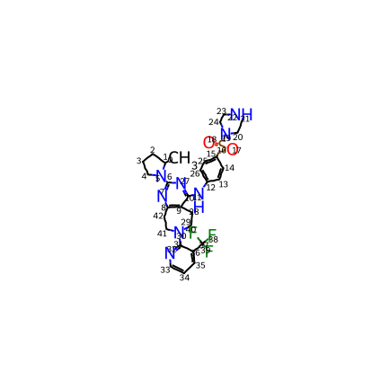 CC1CCCN1c1nc2c(c(Nc3ccc(S(=O)(=O)N4CCNCC4)cc3)n1)CCN(c1ncccc1C(F)(F)F)CC2